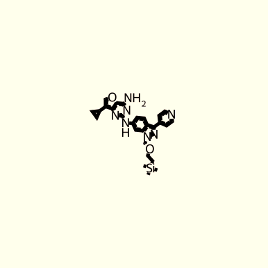 C[Si](C)(C)CCOCn1nc(-c2ccncc2)c2ccc(Nc3nc(N)c4occ(C5CC5)c4n3)cc21